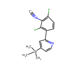 [C-]#[N+]c1c(F)ccc(-c2cc([Si](C)(C)C)ccn2)c1F